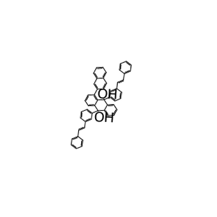 OC1(c2cccc(/C=C/c3ccccc3)c2)c2ccccc2C(O)(c2cccc(/C=C/c3ccccc3)c2)c2c(-c3ccc4ccccc4c3)cccc21